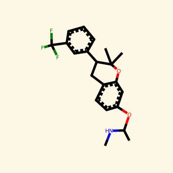 CNC(C)Oc1ccc2c(c1)OC(C)(C)C(c1cccc(C(F)(F)F)c1)C2